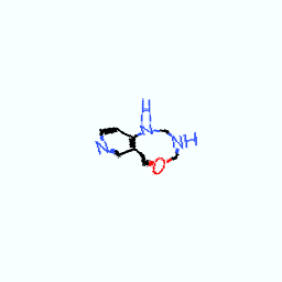 c1cc2c(cn1)COCNCN2